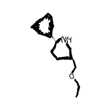 CCOCC1=CC[C@H](c2ccccc2)NC1